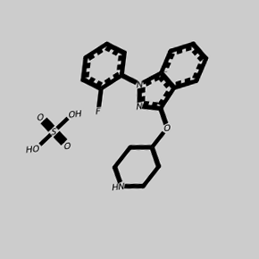 Fc1ccccc1-n1nc(OC2CCNCC2)c2ccccc21.O=S(=O)(O)O